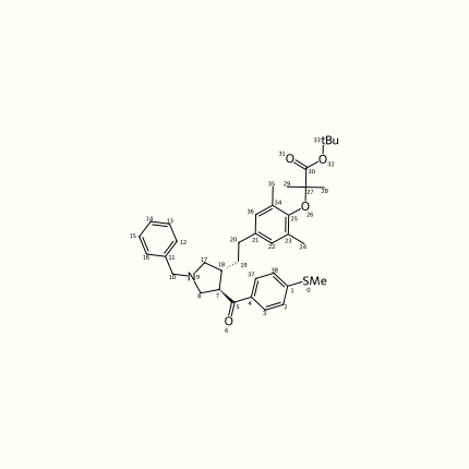 CSc1ccc(C(=O)[C@H]2CN(Cc3ccccc3)C[C@@H]2CCc2cc(C)c(OC(C)(C)C(=O)OC(C)(C)C)c(C)c2)cc1